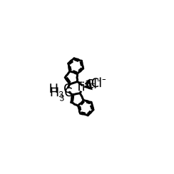 CC1=Cc2ccccc2[CH]1[Ti+2]1([CH]2C(C)=Cc3ccccc32)[CH2][CH2]1.[Cl-].[Cl-]